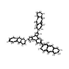 c1ccc2cc3cc(-c4cc5c(s4)c4cc(-c6ccc7cc8ccccc8cc7c6)sc4c4cc(-c6ccc7cc8ccccc8cc7c6)sc54)ccc3cc2c1